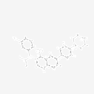 CC(C)Oc1cc(F)ccc1Nc1ncnc2ccc(-c3cnc(N4CCNCC4)nc3)nc12